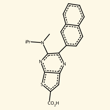 CC(C)N(C)c1nc2sc(C(=O)O)cc2nc1-c1ccc2ccccc2c1